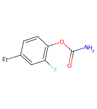 CCc1ccc(OC(N)=O)c(F)c1